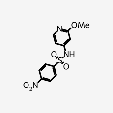 COc1cc(NS(=O)(=O)c2ccc([N+](=O)[O-])cc2)ccn1